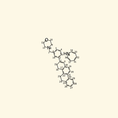 C1=C(c2cccc(CN3CCOCC3)c2)CCc2c1ccc1c2CCc2ccccc2-1.C1=CC=CNC=C1